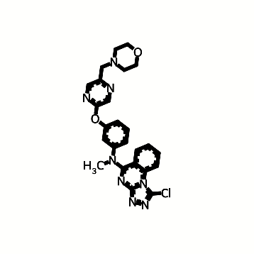 CN(c1cccc(Oc2cnc(CN3CCOCC3)cn2)c1)c1nc2nnc(Cl)n2c2ccccc12